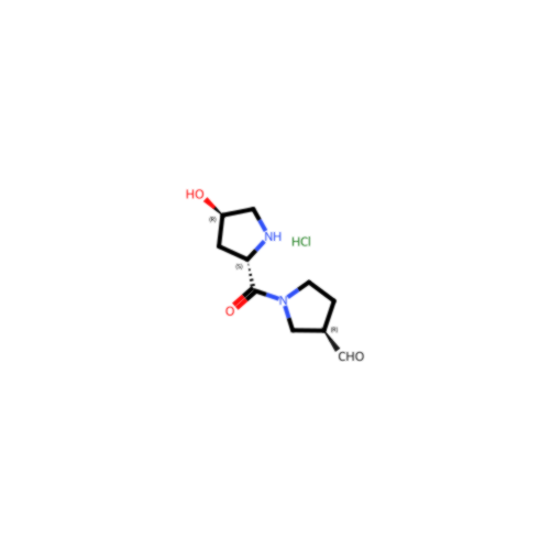 Cl.O=C[C@@H]1CCN(C(=O)[C@@H]2C[C@@H](O)CN2)C1